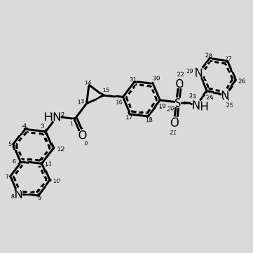 O=C(Nc1ccc2cnccc2c1)C1CC1c1ccc(S(=O)(=O)Nc2ncccn2)cc1